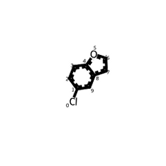 Clc1ccc2o[c]cc2c1